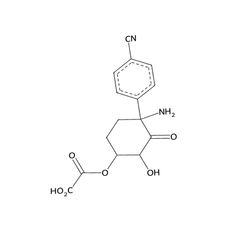 N#Cc1ccc(C2(N)CCC(OC(=O)C(=O)O)C(O)C2=O)cc1